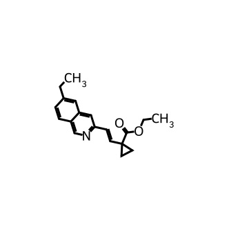 CCOC(=O)C1(/C=C/c2cc3cc(CC)ccc3cn2)CC1